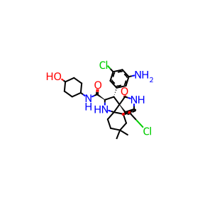 CC1(C)CCC2(CC1)N[C@@H](C(=O)NC1CCC(O)CC1)[C@H](c1cc(N)cc(Cl)c1)[C@]21C(=O)Nc2cc(Cl)ccc21